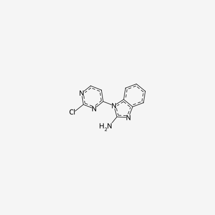 Nc1nc2ccccc2n1-c1ccnc(Cl)n1